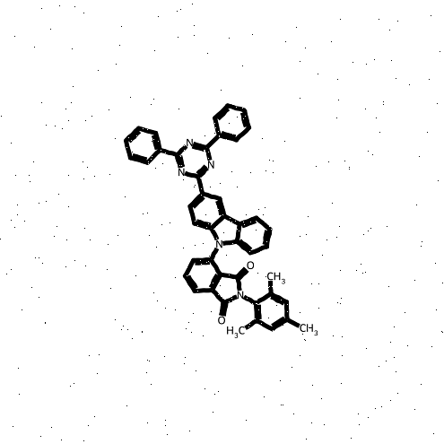 Cc1cc(C)c(N2C(=O)c3cccc(-n4c5ccccc5c5cc(-c6nc(-c7ccccc7)nc(-c7ccccc7)n6)ccc54)c3C2=O)c(C)c1